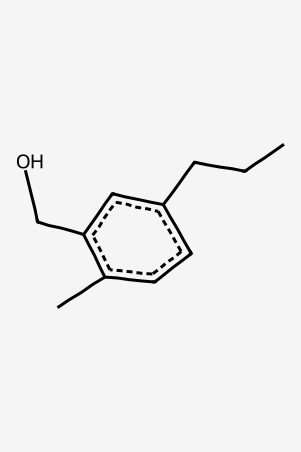 CCCc1ccc(C)c(CO)c1